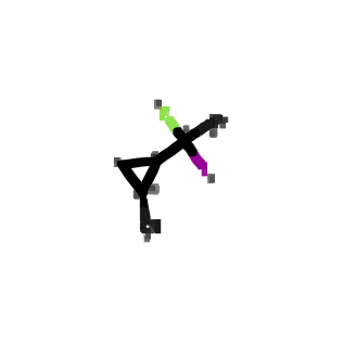 CC(C)C(F)(I)C1C[C@@H]1C#N